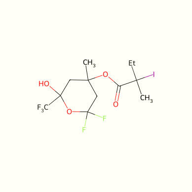 CCC(C)(I)C(=O)OC1(C)CC(F)(F)OC(O)(C(F)(F)F)C1